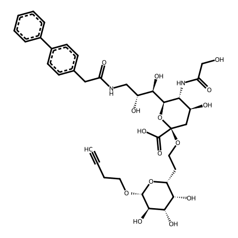 C#CCCO[C@@H]1O[C@H](CCO[C@]2(C(=O)O)C[C@H](O)[C@@H](NC(=O)CO)[C@H]([C@H](O)[C@H](O)CNC(=O)Cc3ccc(-c4ccccc4)cc3)O2)[C@H](O)[C@H](O)[C@H]1O